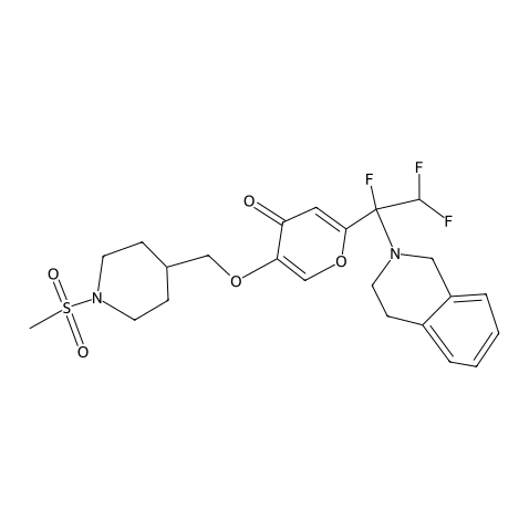 CS(=O)(=O)N1CCC(COc2coc(C(F)(C(F)F)N3CCc4ccccc4C3)cc2=O)CC1